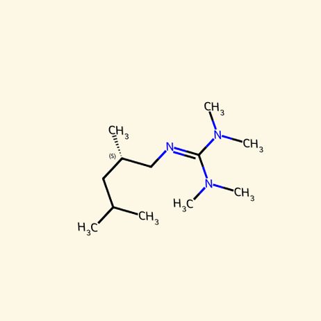 CC(C)C[C@H](C)CN=C(N(C)C)N(C)C